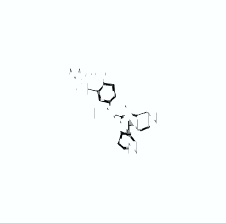 COc1ccc(NC2=N[N+]3(c4cccnc4)C=CN=CC3=N2)cc1Cl